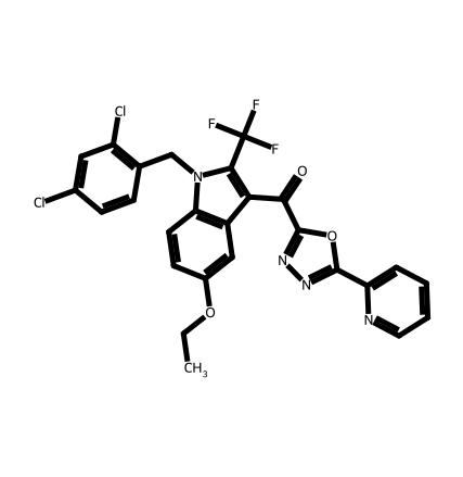 CCOc1ccc2c(c1)c(C(=O)c1nnc(-c3ccccn3)o1)c(C(F)(F)F)n2Cc1ccc(Cl)cc1Cl